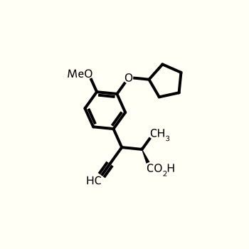 C#CC(c1ccc(OC)c(OC2CCCC2)c1)[C@@H](C)C(=O)O